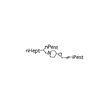 CCCCCCCC(CCCCC)CN1CCC(OCC#CC(C)CCC)CC1